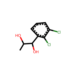 CC(O)C(O)c1cccc(Cl)c1Cl